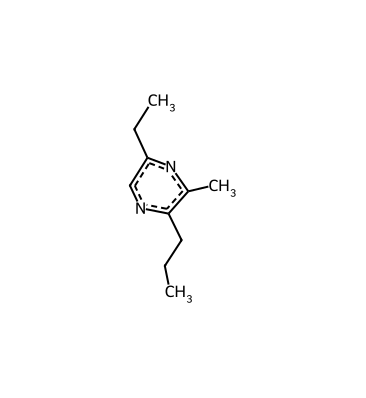 CCCc1ncc(CC)nc1C